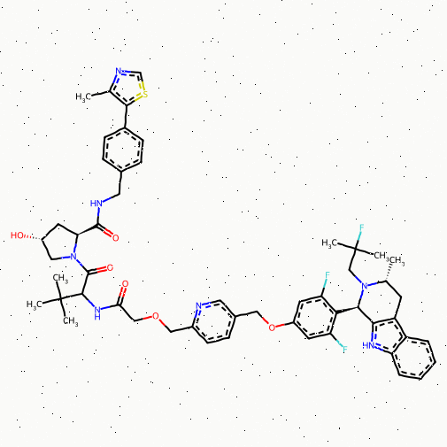 Cc1ncsc1-c1ccc(CNC(=O)[C@@H]2C[C@@H](O)CN2C(=O)C(NC(=O)COCc2ccc(COc3cc(F)c([C@@H]4c5[nH]c6ccccc6c5C[C@@H](C)N4CC(C)(C)F)c(F)c3)cn2)C(C)(C)C)cc1